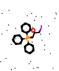 O=C(C=P(c1ccccc1)(c1ccccc1)c1ccccc1)CI